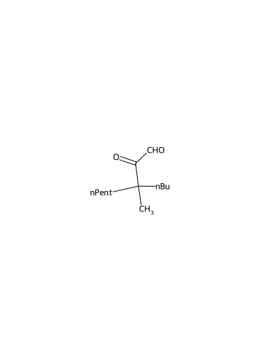 CCCCCC(C)(CCCC)C(=O)C=O